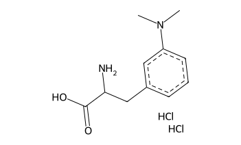 CN(C)c1cccc(CC(N)C(=O)O)c1.Cl.Cl